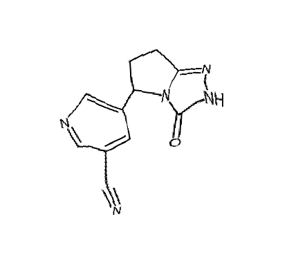 N#Cc1cncc(C2CCc3n[nH]c(=O)n32)c1